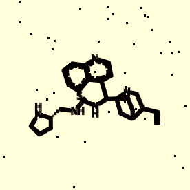 C=CC1CN2CCC1CC2C(NC(=S)NC[C@@H]1CCCN1)c1ccnc2ccccc12